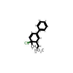 CC1(Cl)C=CC(c2ccccc2)=CC1CC(=O)O